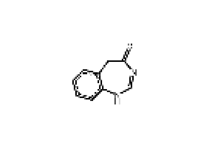 O=C1Cc2ccccc2N[C]=N1